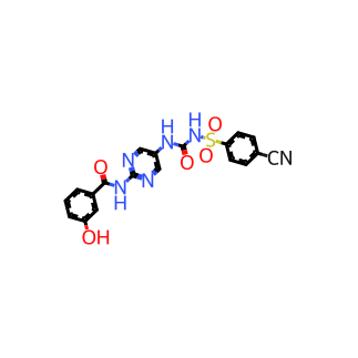 N#Cc1ccc(S(=O)(=O)NC(=O)Nc2cnc(NC(=O)c3cccc(O)c3)nc2)cc1